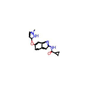 CN1C=CC(Oc2ccc3cc(NC(=O)C4CC4)ncc3c2)N1